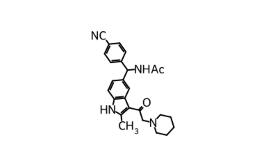 CC(=O)NC(c1ccc(C#N)cc1)c1ccc2[nH]c(C)c(C(=O)CN3CCCCC3)c2c1